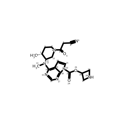 C[C@@H]1CCN(C(=O)CC#N)C[C@@H]1N(C)c1ncnc2c1ccn2C(=O)OC1CNC1